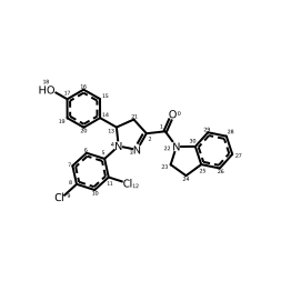 O=C(C1=NN(c2ccc(Cl)cc2Cl)C(c2ccc(O)cc2)C1)N1CCc2ccccc21